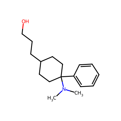 CN(C)C1(c2ccccc2)CCC(CCCO)CC1